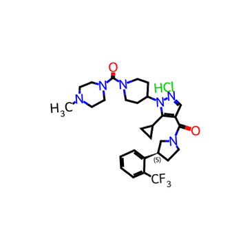 CN1CCN(C(=O)N2CCC(n3ncc(C(=O)N4CC[C@@H](c5ccccc5C(F)(F)F)C4)c3C3CC3)CC2)CC1.Cl